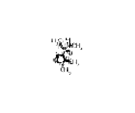 CN=S(=O)(NC)c1cnn(C)c1C